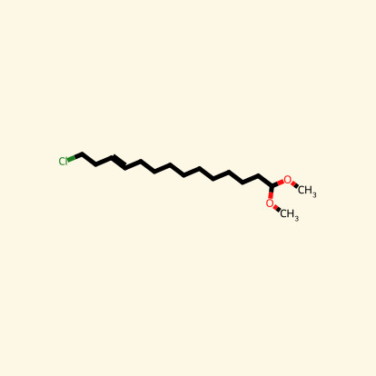 COC(CCCCCCCCC/C=C/CCCl)OC